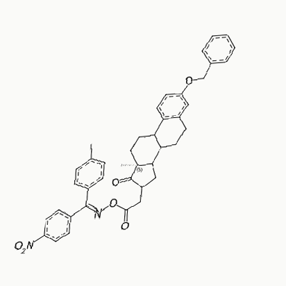 Cc1ccc(C(=NOC(=O)CC2CC3C4CCc5cc(OCc6ccccc6)ccc5C4CC[C@]3(C)C2=O)c2ccc([N+](=O)[O-])cc2)cc1